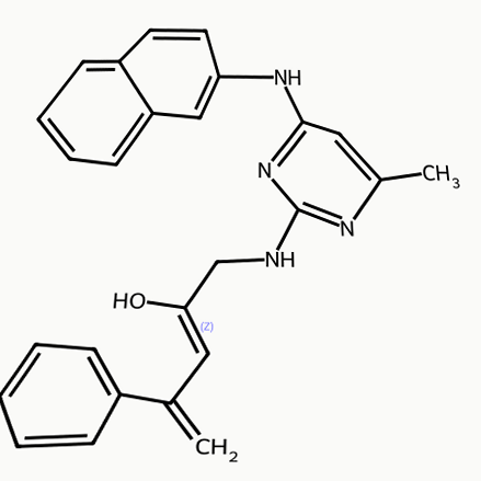 C=C(/C=C(\O)CNc1nc(C)cc(Nc2ccc3ccccc3c2)n1)c1ccccc1